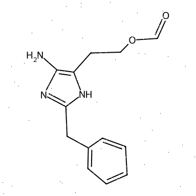 Nc1nc(Cc2ccccc2)[nH]c1CCOC=O